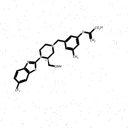 C=C(Oc1cc(C)cc(CN2CCN(c3nc4ccc(C(F)(F)F)cc4s3)[C@H](COC)C2)c1)C(=O)O